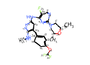 CNc1nnc(Nc2nc(N3C[C@@H](C)O[C@@H](C)C3)ncc2F)cc1-c1ccc(OC(F)F)cc1